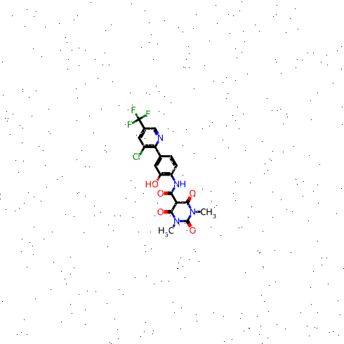 CN1C(=O)C(C(=O)Nc2ccc(-c3ncc(C(F)(F)F)cc3Cl)cc2O)C(=O)N(C)C1=O